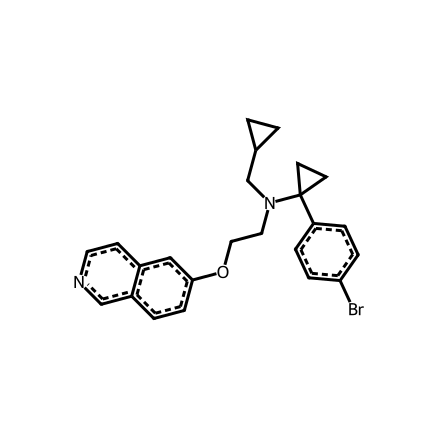 Brc1ccc(C2(N(CCOc3ccc4cnccc4c3)CC3CC3)CC2)cc1